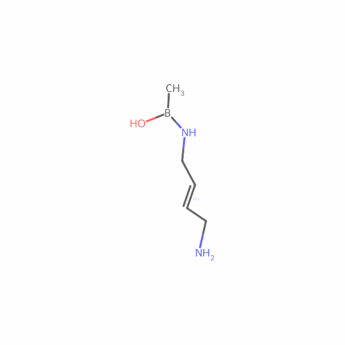 CB(O)NC/C=C/CN